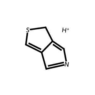 C1=NC=C2CSC=C12.[H+]